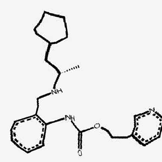 C[C@@H](CC1CCCC1)NCc1ccccc1NC(=O)OCc1cccnc1